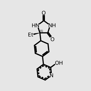 CC[C@@]1(C2C=CC(c3cccnc3O)=CC2)NC(=O)NC1=O